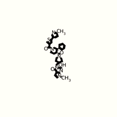 Cc1ccc(-c2cc(C(=O)N3CC[C@@H](C(=O)N4CCC(O)(Cn5cnc6c(ccn6C)c5=O)CC4)[C@H](c4ccccc4)C3)cs2)cn1